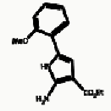 CCOC(=O)c1cc(-c2ccccc2OC)[nH]c1N